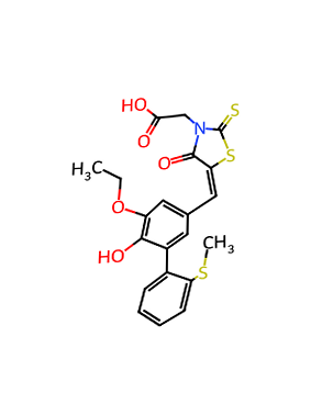 CCOc1cc(C=C2SC(=S)N(CC(=O)O)C2=O)cc(-c2ccccc2SC)c1O